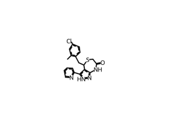 Cc1cc(Cl)ccc1CC1SCC(=O)Nc2n[nH]c(-c3ccccn3)c21